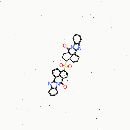 O=c1c2c3c(c4nc5ccccc5n14)=CC=CC3C(S(=O)(=O)c1ccc3c(=O)n4c5ccccc5nc4c4cccc1c34)CC2